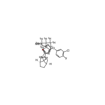 [2H]C([2H])([2H])C([2H])(n1nc(N[C@@H]2[C@@H]3CC[C@H]2CN(c2ccnc(OC)c2)C3)nc1Oc1ccc(F)c(Cl)c1)C([2H])([2H])[2H]